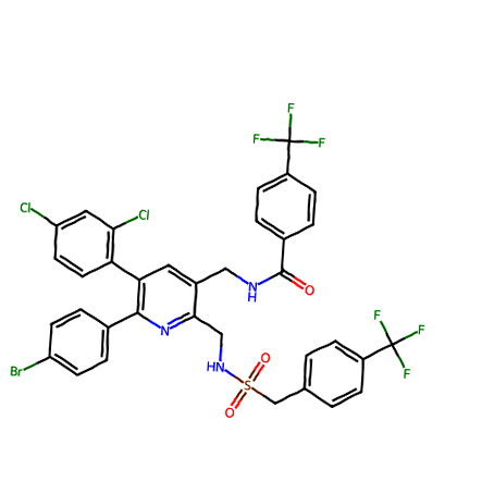 O=C(NCc1cc(-c2ccc(Cl)cc2Cl)c(-c2ccc(Br)cc2)nc1CNS(=O)(=O)Cc1ccc(C(F)(F)F)cc1)c1ccc(C(F)(F)F)cc1